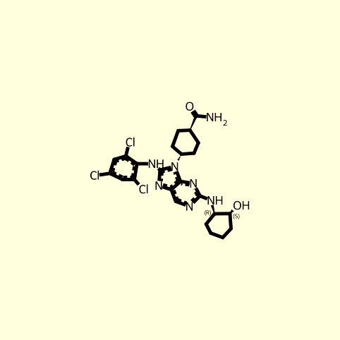 NC(=O)[C@H]1CC[C@H](n2c(Nc3c(Cl)cc(Cl)cc3Cl)nc3cnc(N[C@@H]4CCCC[C@@H]4O)nc32)CC1